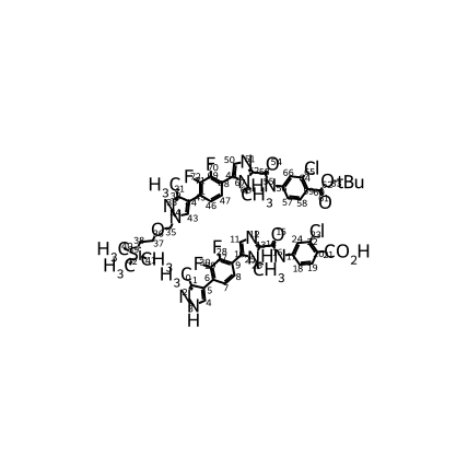 Cc1n[nH]cc1-c1ccc(-c2cnc(C(=O)Nc3ccc(C(=O)O)c(Cl)c3)n2C)c(F)c1F.Cc1nn(COCC[Si](C)(C)C)cc1-c1ccc(-c2cnc(C(=O)Nc3ccc(C(=O)OC(C)(C)C)c(Cl)c3)n2C)c(F)c1F